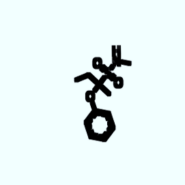 CCC(C)(Oc1ccccc1)S(=O)(=O)NC